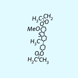 C=C(C)C(=O)Oc1ccc(-c2ccc3c(sc4c(OC)c(OC(=O)C(=C)C)ccc43)c2C)cc1